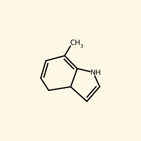 CC1=C2NC=CC2CC=C1